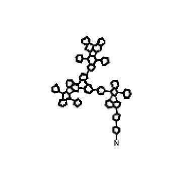 N#Cc1ccc(-c2ccc(-c3ccc4c5c(cccc35)-c3c-4c(-c4ccccc4)c4ccccc4c3-c3ccc(-c4ccc5c(c4)c4cc(-c6ccc7c(-c8ccccc8)c8c(c(-c9ccccc9)c7c6)-c6cc7ccccc7c7c6c-8cc6ccccc67)ccc4c4c6cccc7c6c(cc54)-c4c-7c(-c5ccccc5)c5ccccc5c4-c4ccccc4)cc3)cc2)cc1